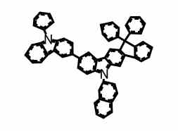 c1ccc(-n2c3ccccc3c3cc(-c4ccc5c(c4)c4cc6c(cc4n5-c4ccc5ccccc5c4)-c4ccccc4C6(c4ccccc4)c4ccccc4)ccc32)cc1